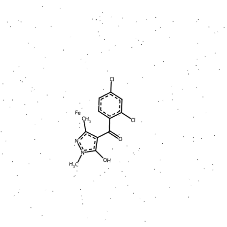 Cc1nn(C)c(O)c1C(=O)c1ccc(Cl)cc1Cl.[Fe]